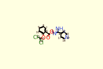 NC(=NOC(=O)c1ccccc1OC(Cl)Cl)c1ccncc1